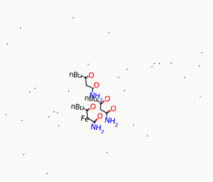 CCCCC(=O)CC(N)=O.CCCCC(=O)CC(N)=O.CCCCC(=O)CC(N)=O.[Fe]